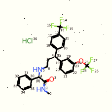 CNC(=O)[C@H](NCC[C@@H](c1ccc(C(F)(F)F)cc1)c1cccc(OC(F)(F)F)c1)c1ccccc1.Cl